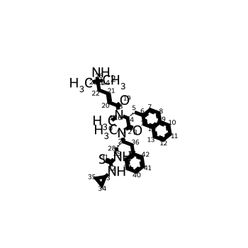 CN(C(=O)[C@@H](Cc1ccc2ccccc2c1)N(C)C(=O)C=CCC(C)(C)N)[C@@H](CNC(=S)NC1CC1)Cc1ccccc1